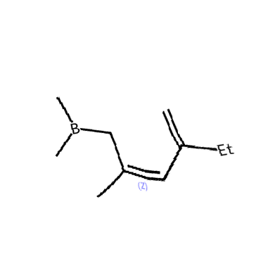 C=C(/C=C(/C)CB(C)C)CC